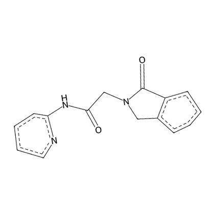 O=C(CN1Cc2ccccc2C1=O)Nc1ccccn1